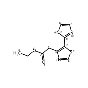 CCOC(=O)Cc1n[c]sc1-c1ncc[nH]1